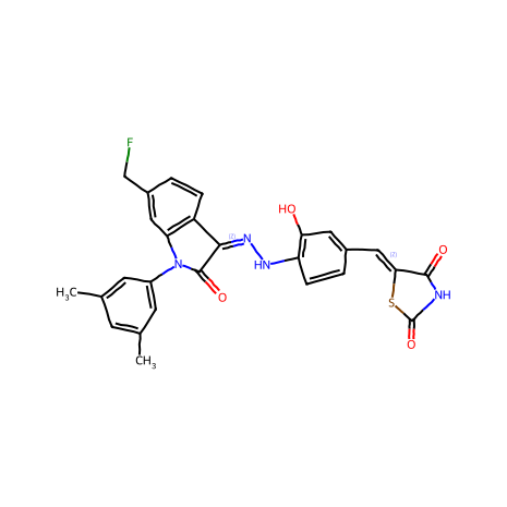 Cc1cc(C)cc(N2C(=O)/C(=N\Nc3ccc(/C=C4\SC(=O)NC4=O)cc3O)c3ccc(CF)cc32)c1